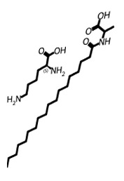 CCCCCCCCCCCCCCCCCC(=O)NC(C)C(=O)O.NCCCC[C@H](N)C(=O)O